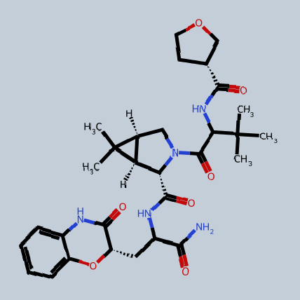 CC(C)(C)C(NC(=O)[C@@H]1CCOC1)C(=O)N1C[C@H]2[C@@H]([C@H]1C(=O)NC(C[C@@H]1Oc3ccccc3NC1=O)C(N)=O)C2(C)C